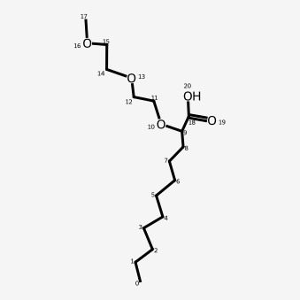 CCCCCCCCCC(OCCOCCOC)C(=O)O